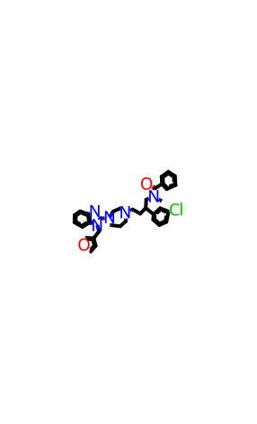 CN(CC(CCN1CCCN(c2nc3ccccc3n2Cc2ccoc2)CC1)c1cccc(Cl)c1)C(=O)c1ccccc1